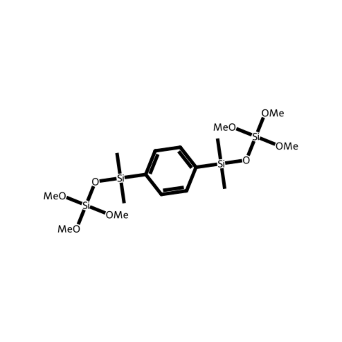 CO[Si](OC)(OC)O[Si](C)(C)c1ccc([Si](C)(C)O[Si](OC)(OC)OC)cc1